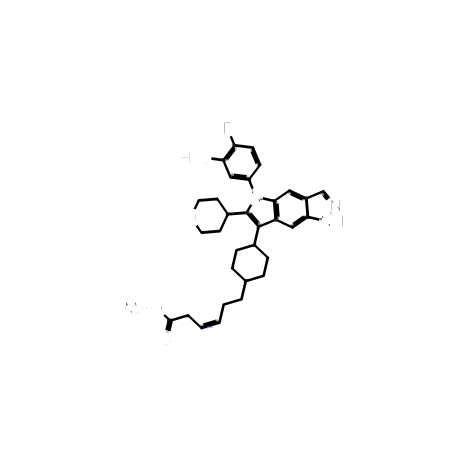 COC(=O)C/C=C\CCC1CCC(c2c(C3CCOCC3)n(-c3ccc(F)c(C)c3)c3cc4cn[nH]c4cc23)CC1